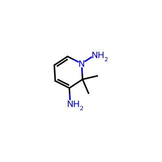 CC1(C)C(N)=CC=CN1N